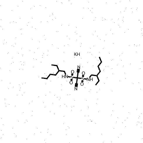 CCCCC(CC)CNS(=O)(=O)C(C#N)(C#N)S(=O)(=O)NCC(CC)CCCC.[KH]